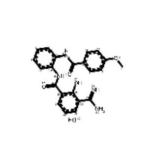 COc1ccc(C(=O)Nc2ccccc2NC(=O)c2cccc(C(=N)N)c2O)cc1.Cl